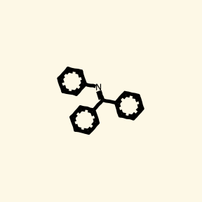 c1ccc(N=C(c2ccccc2)c2ccccc2)cc1